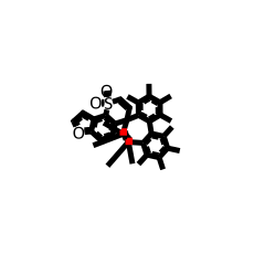 Cc1c(C)c(C)c2c(c1C)-c1c(C)c(C)c(C)c(C)c1C1(C=CS(=O)(=O)c3c1ccc1occc31)c1c(C)c(C)c(C)c(C)c1-2